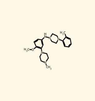 COc1ccc(NN2CCN(c3ccccc3C)CC2)cc1N1CCN(C)CC1